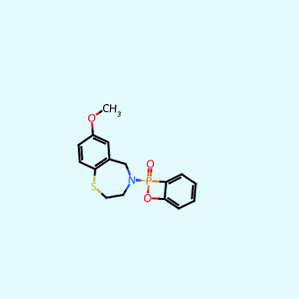 COc1ccc2c(c1)CN([P@]1(=O)Oc3ccccc31)CCS2